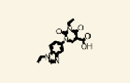 CCn1c(=O)c(C(=O)O)cn(-c2ccc3c(c2)ncn3CC)c1=O